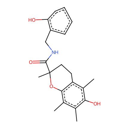 Cc1c(C)c2c(c(C)c1O)CCC(C)(C(=O)NCc1ccccc1O)O2